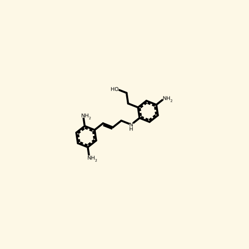 Nc1ccc(N)c(C=CCNc2ccc(N)cc2CCO)c1